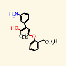 CC/C(=C\C(=C(/C)O)c1cccc(N)c1)Oc1ccccc1CC(=O)O